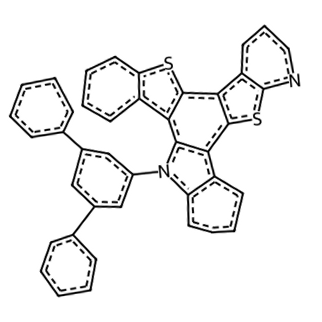 c1ccc(-c2cc(-c3ccccc3)cc(-n3c4ccccc4c4c5sc6ncccc6c5c5sc6ccccc6c5c43)c2)cc1